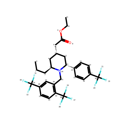 CCC[C@H]1C[C@H](CC(=O)OCC)C[C@H](c2ccc(C(F)(F)F)cc2)N1Cc1cc(C(F)(F)F)ccc1C(F)(F)F